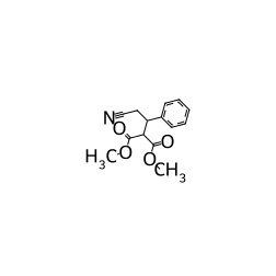 COC(=O)C(C(=O)OC)C(CC#N)c1ccccc1